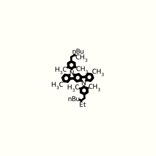 CCCCC(C)Cc1cc(C)c(-n2c3ccc(C)cc3c3cc4c(cc32)c2cc(C)ccc2n4-c2c(C)cc(CC(CC)CCCC)cc2C)c(C)c1